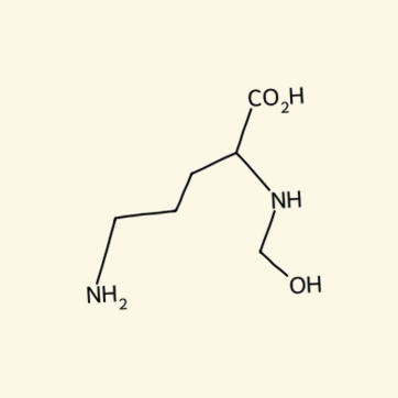 NCCCC(NCO)C(=O)O